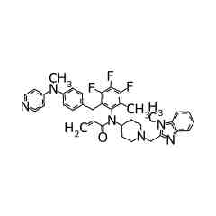 C=CC(=O)N(c1c(C)c(F)c(F)c(F)c1Cc1ccc(N(C)c2ccncc2)cc1)C1CCN(Cc2nc3ccccc3n2C)CC1